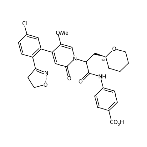 COc1cn(C(C[C@@H]2CCCCO2)C(=O)Nc2ccc(C(=O)O)cc2)c(=O)cc1-c1cc(Cl)ccc1C1=NOCC1